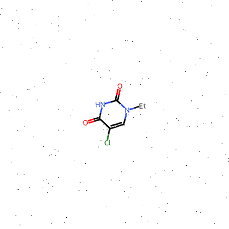 CCn1cc(Cl)c(=O)[nH]c1=O